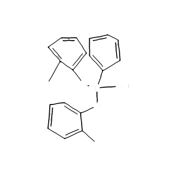 Cc1ccccc1O[PH]([SeH])(Oc1ccccc1C)c1ccccc1